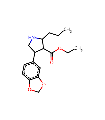 CCCC1NCC(c2ccc3c(c2)OCO3)C1C(=O)OCC